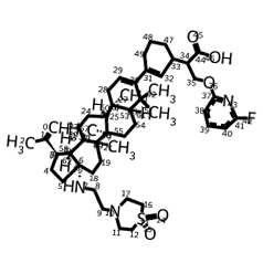 C=C(C)[C@@H]1CC[C@]2(NCCN3CCS(=O)(=O)CC3)CC[C@]3(C)[C@H](CC[C@@H]4[C@@]5(C)CC=C(C6=CC(C(COc7cccc(F)n7)C(=O)O)CCC6)C(C)(C)[C@@H]5CC[C@]43C)[C@@H]12